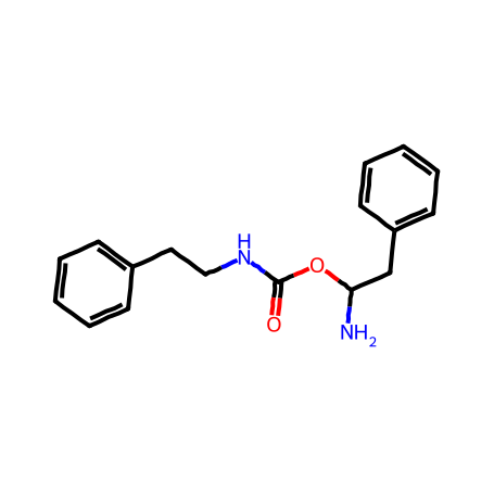 NC(Cc1ccccc1)OC(=O)NCCc1ccccc1